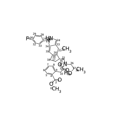 COC(=O)c1ccccc1CS(=O)(=O)N(C[C@H]1CCC2=C1[C@@H](C)C1=CNN(c3ccc(F)cc3)C1=C2)C[C@H](C)O